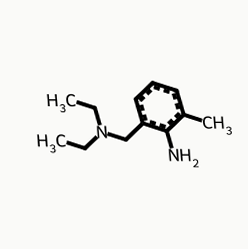 CCN(CC)Cc1cccc(C)c1N